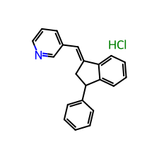 C(=C1/CC(c2ccccc2)c2ccccc21)/c1cccnc1.Cl